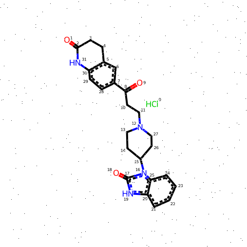 Cl.O=C1CCc2cc(C(=O)CCN3CCC(n4c(=O)[nH]c5ccccc54)CC3)ccc2N1